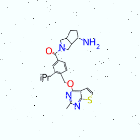 Cc1nc(OCc2ccc(C(=O)N3CC4CCC(N)C4C3)cc2C(C)C)c2ccsc2n1